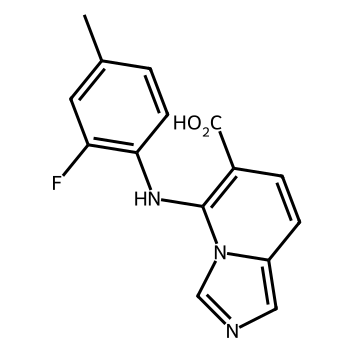 Cc1ccc(Nc2c(C(=O)O)ccc3cncn23)c(F)c1